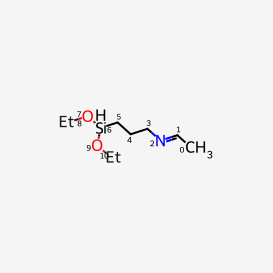 CC=NCCC[SiH](OCC)OCC